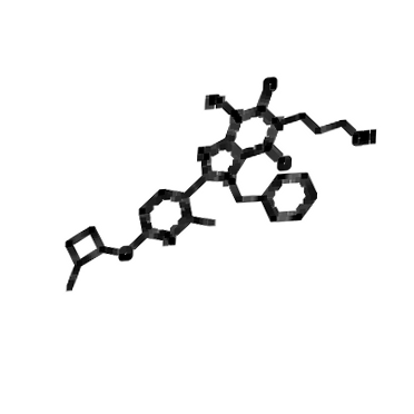 Cc1nc(OC2CCC2C)ccc1-c1nc2c(c(=O)n(CCCO)c(=O)n2C(C)C)n1Cc1ccccc1